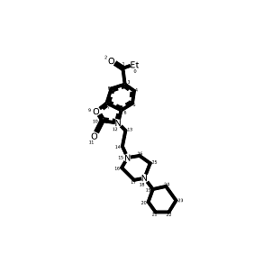 CCC(=O)c1ccc2c(c1)oc(=O)n2CCN1CCN(C2CCCCC2)CC1